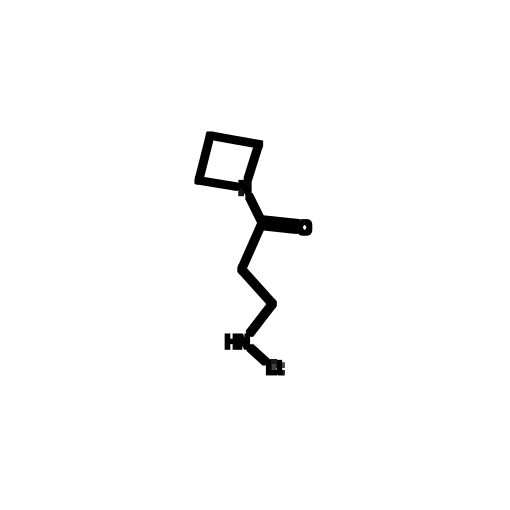 CCNCCC(=O)N1CCC1